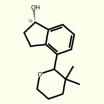 CC1(C)CCCOC1c1cccc2c1CC[C@@H]2O